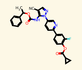 CC(OC(=O)Nc1c(C#N)cnn1-c1ccc(-c2ccc(OC(=O)C3CC3)c(F)c2)nc1)c1ccccc1